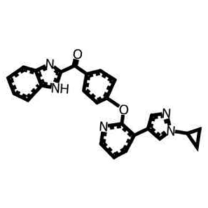 O=C(c1ccc(Oc2ncccc2-c2cnn(C3CC3)c2)cc1)c1nc2ccccc2[nH]1